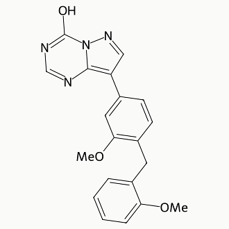 COc1ccccc1Cc1ccc(-c2cnn3c(O)ncnc23)cc1OC